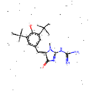 CN1C(NC(=N)N)=NC(=O)/C1=C/c1cc(C(C)(C)C)c(O)c(C(C)(C)C)c1